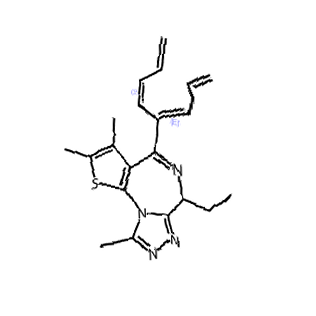 C=C/C=C\C(=C/C=C)C1=NC(CC)c2nnc(C)n2-c2sc(C)c(C)c21